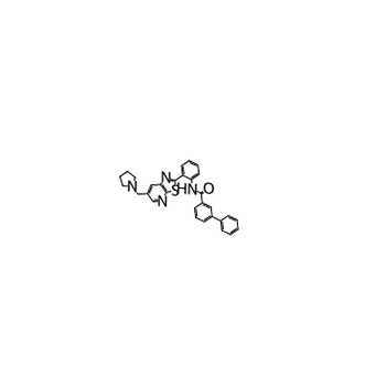 O=C(Nc1ccccc1-c1nc2cc(CN3CCCC3)cnc2s1)c1cccc(-c2ccccc2)c1